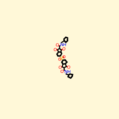 O=C(NCc1ccccc1)C1C(=O)c2ccc(S(=O)(=O)c3ccc4c(c3)C(=O)C(C(=O)NCc3ccccc3)C4=O)cc2C1=O